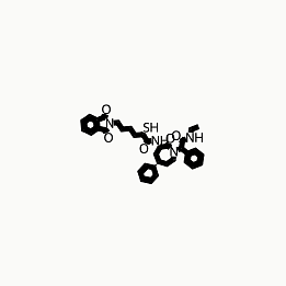 CCNC(=O)C(c1ccccc1)N1CC[C@H](C2C=CC=CC2)CC(NC(=O)C(S)CCCCN2C(=O)c3ccccc3C2=O)C1=O